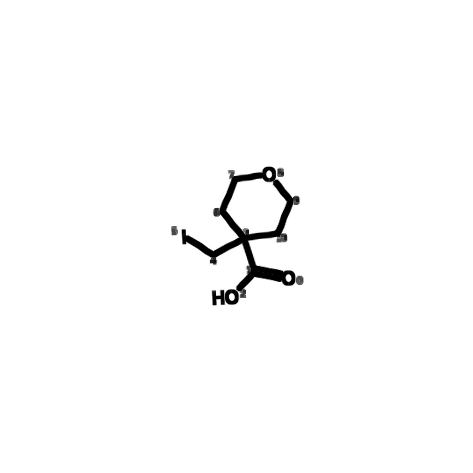 O=C(O)C1(CI)CCOCC1